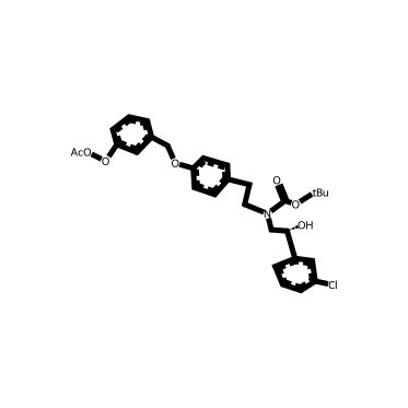 CC(=O)OOc1cccc(COc2ccc(CCN(C[C@H](O)c3cccc(Cl)c3)C(=O)OC(C)(C)C)cc2)c1